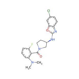 CN(C)c1cccc(F)c1C(=O)N1CC[C@@H](Nc2nc3ccc(Cl)cc3o2)C1